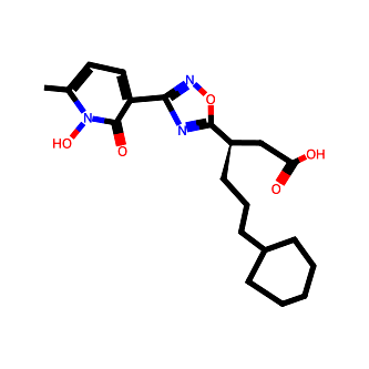 Cc1ccc(-c2noc([C@H](CCCC3CCCCC3)CC(=O)O)n2)c(=O)n1O